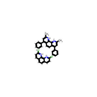 Cc1cc(-c2ccccc2)c2ccc3c(-c4ccccc4)cc(C)nc3c2n1.Clc1ccc2ccc3ccc(Cl)nc3c2n1